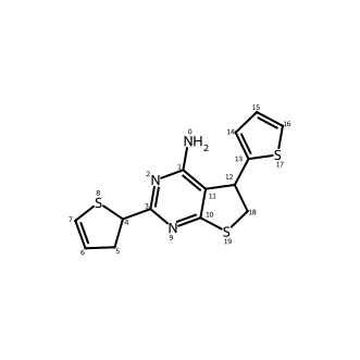 Nc1nc(C2CC=CS2)nc2c1C(c1cccs1)CS2